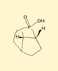 C[C@H]1C2CC[C@H]1P(=O)(O)CC2